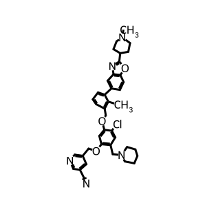 Cc1c(COc2cc(OCc3cncc(C#N)c3)c(CN3CCCCC3)cc2Cl)cccc1-c1ccc2oc(C3CCN(C)CC3)nc2c1